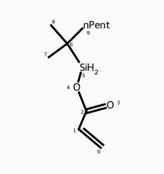 C=CC(=O)O[SiH2]C(C)(C)CCCCC